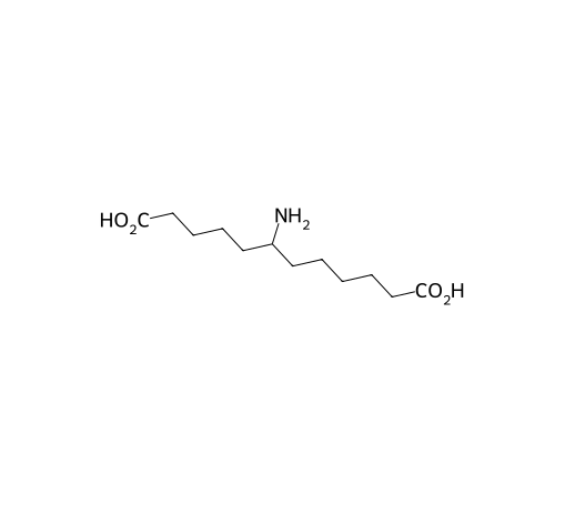 NC(CCCCCC(=O)O)CCCCC(=O)O